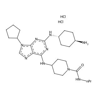 CCCNC(=O)N1CCC(Nc2nc(N[C@H]3CC[C@H](N)CC3)nc3c2ncn3C2CCCC2)CC1.Cl.Cl